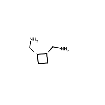 NC[C@H]1CC[C@@H]1CN